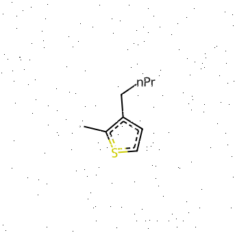 [CH2]c1sccc1CCCC